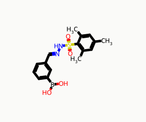 Cc1cc(C)c(S(=O)(=O)NN=Cc2cccc(B(O)O)c2)c(C)c1